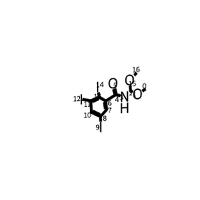 COC(NC(=O)c1cc(I)cc(I)c1I)OC